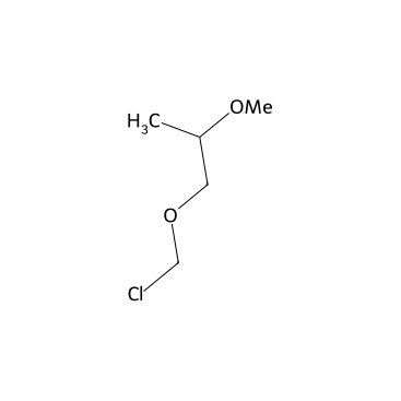 COC(C)COCCl